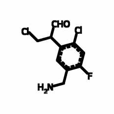 NCc1cc(C(C=O)CCl)c(Cl)cc1F